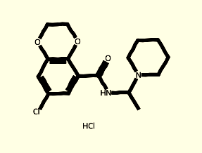 CC(NC(=O)c1cc(Cl)cc2c1OCCO2)N1CCCCC1.Cl